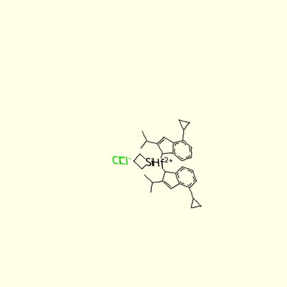 CC(C)C1=Cc2c(C3CC3)cccc2[CH]1[Hf+2]([CH]1C(C(C)C)=Cc2c(C3CC3)cccc21)=[Si]1CCC1.[Cl-].[Cl-]